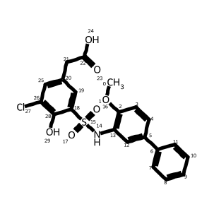 COc1ccc(-c2ccccc2)cc1NS(=O)(=O)c1cc(CC(=O)O)cc(Cl)c1O